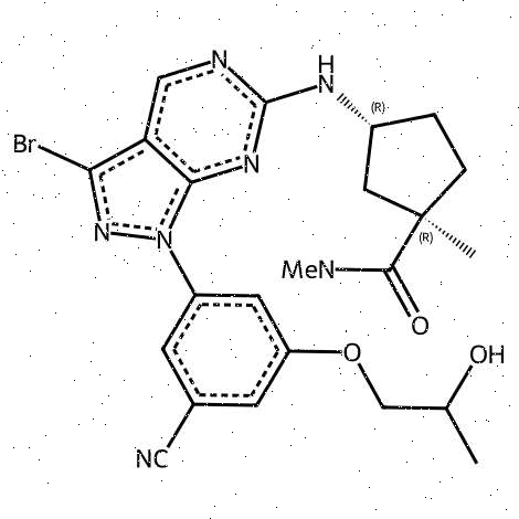 CNC(=O)[C@]1(C)CC[C@@H](Nc2ncc3c(Br)nn(-c4cc(C#N)cc(OCC(C)O)c4)c3n2)C1